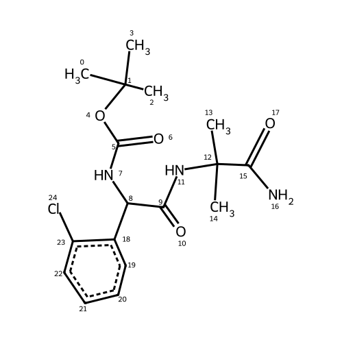 CC(C)(C)OC(=O)NC(C(=O)NC(C)(C)C(N)=O)c1ccccc1Cl